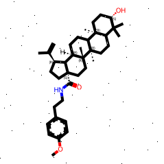 C=C(C)[C@@H]1CC[C@]2(C(=O)NCCc3ccc(OC)cc3)CC[C@]3(C)[C@H](CCC4[C@@]5(C)CC[C@H](O)C(C)(C)C5CC[C@]43C)C12